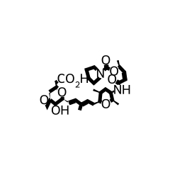 CC(/C=C/[C@H]1O[C@H](CC(=O)O)C[C@@]2(CO2)[C@@H]1O)=C\C[C@@H]1O[C@H](C)[C@H](NC(=O)/C=C\[C@H](C)OC(=O)N2CCCCC2)C[C@@H]1C